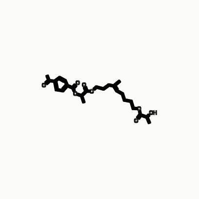 CC(=O)c1ccc(C(=O)OC(C)C(=O)OCCCC(C)=CCCCCOC(=O)C(C)O)cc1